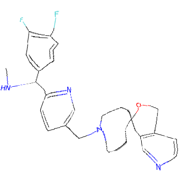 CNC(c1ccc(F)c(F)c1)c1ccc(CN2CCC3(CC2)OCc2ccncc23)cn1